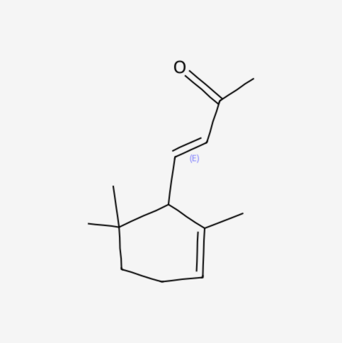 CC(=O)/C=C/C1C(C)=CCCC1(C)C